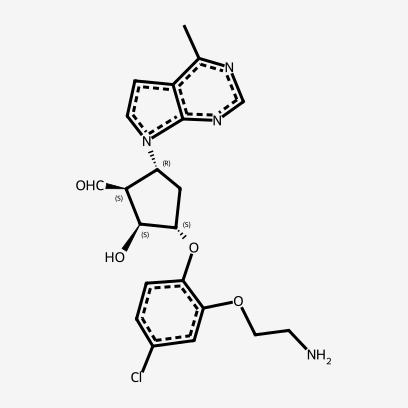 Cc1ncnc2c1ccn2[C@@H]1C[C@H](Oc2ccc(Cl)cc2OCCN)[C@@H](O)[C@H]1C=O